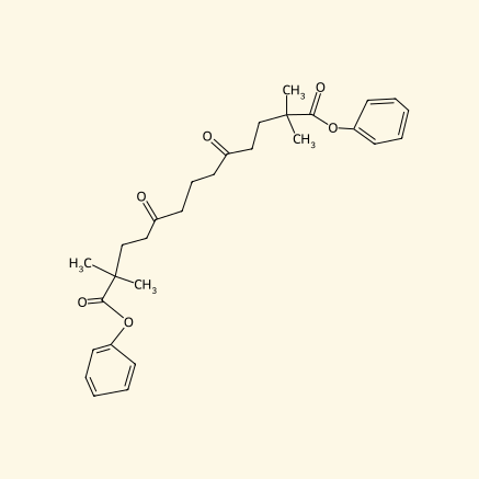 CC(C)(CCC(=O)CCCC(=O)CCC(C)(C)C(=O)Oc1ccccc1)C(=O)Oc1ccccc1